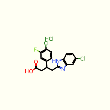 Cl.O=C(O)CC(Cc1nc2cc(Cl)ccc2[nH]1)c1ccc(Cl)c(F)c1